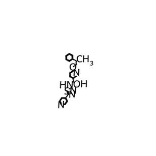 C[C@@H](COc1ccc(C(O)Nc2nnc(-c3ccncc3)s2)cn1)c1ccccc1